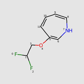 FC(F)COC1=CNC=CC=C1